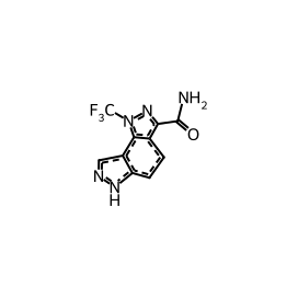 NC(=O)c1nn(C(F)(F)F)c2c1ccc1[nH]ncc12